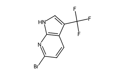 FC(F)(F)c1c[nH]c2nc(Br)ccc12